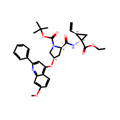 C=C[C@H]1C[C@@]1(NC(=O)[C@H]1C[C@@H](Oc2cc(-c3ccccc3)nc3cc(OC)ccc23)CN1C(=O)OC(C)(C)C)C(=O)OCC